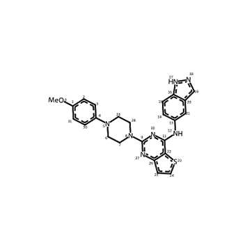 COc1ccc(N2CCN(c3nc(Nc4ccc5[nH]ncc5c4)c4sccc4n3)CC2)cc1